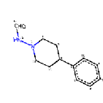 O=CNN1CCC(c2ccccc2)CC1